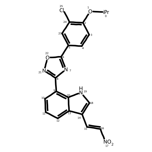 CC(C)Oc1ccc(-c2nc(-c3cccc4c(C=C[N+](=O)[O-])c[nH]c34)no2)cc1Cl